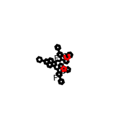 Fc1cc(C(Cc2cc(CCC(c3c(F)cc(-c4ccccc4)cc3-c3ccccc3)c3cccc4c3oc3ccccc34)c3ccc4cc(C5CCCCC5)cc5ccc2c3c45)c2cccc3c2oc2ccccc23)c(-c2ccccc2)cc1-c1ccccc1